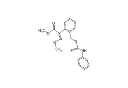 CON=C(C(=O)OC)c1ccccc1CSC(=S)Nc1ccccc1